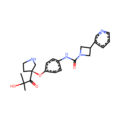 CC(C)(O)C(=O)[C@]1(Oc2ccc(NC(=O)N3CC(c4cccnc4)C3)cc2)CCNC1